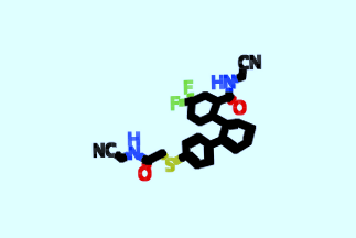 N#CCNC(=O)CSc1ccc(-c2ccccc2C2CCC(F)(F)CC2C(=O)NCC#N)cc1